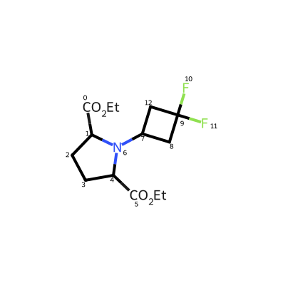 CCOC(=O)C1CCC(C(=O)OCC)N1C1CC(F)(F)C1